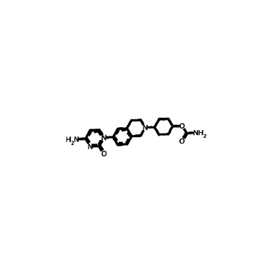 NC(=O)OC1CCC(N2CCc3cc(-n4ccc(N)nc4=O)ccc3C2)CC1